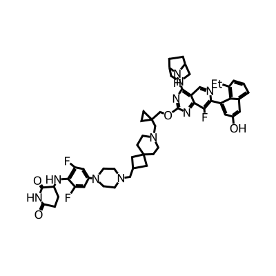 CCc1cccc2cc(O)cc(-c3ncc4c(N5CC6CCC(C5)N6)nc(OCC5(CN6CCC7(CC6)CC(CN6CCN(c8cc(F)c(NC9CCC(=O)NC9=O)c(F)c8)CC6)C7)CC5)nc4c3F)c12